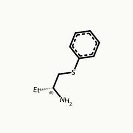 CC[C@@H](N)CSc1ccccc1